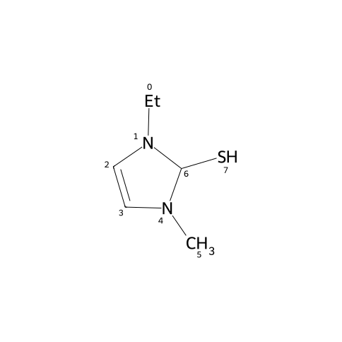 CCN1C=CN(C)C1S